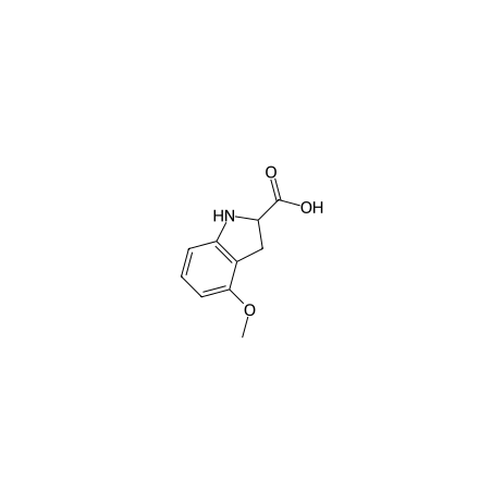 COc1cccc2c1CC(C(=O)O)N2